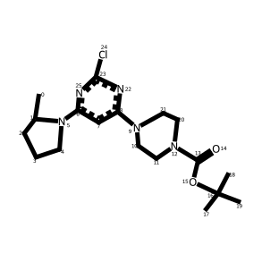 CC1CCCN1c1cc(N2CCN(C(=O)OC(C)(C)C)CC2)nc(Cl)n1